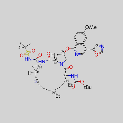 CC[C@@H]1CC/C=C\[C@H]2C[C@@]2(C(=O)NS(=O)(=O)C2(C)CC2)NC(=O)[C@@H]2C[C@@H](Oc3ncc(-c4cnco4)c4cc(OC)ccc34)CN2C(=O)[C@@H](NC(=O)OC(C)(C)C)[C@H](CC)C1